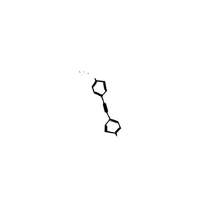 CSc1ccc(C#Cc2ccc(Cl)cc2)cc1